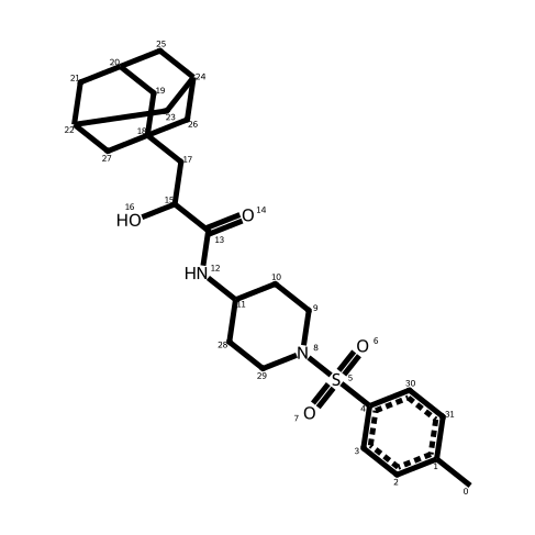 Cc1ccc(S(=O)(=O)N2CCC(NC(=O)C(O)CC34CC5CC(CC(C5)C3)C4)CC2)cc1